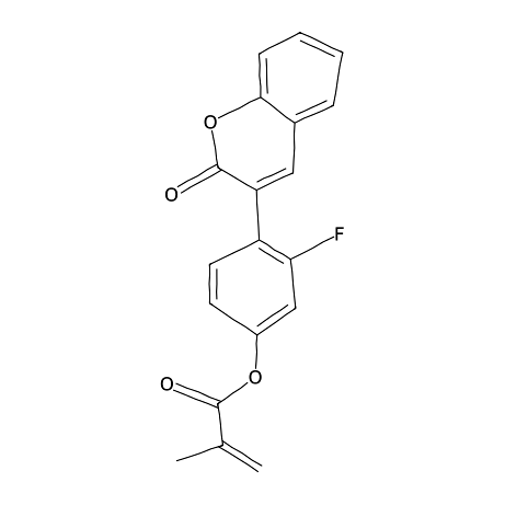 C=C(C)C(=O)Oc1ccc(-c2cc3ccccc3oc2=O)c(F)c1